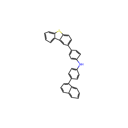 c1ccc2c(-c3ccc(Nc4ccc(-c5ccc6sc7ccccc7c6c5)cc4)cc3)cccc2c1